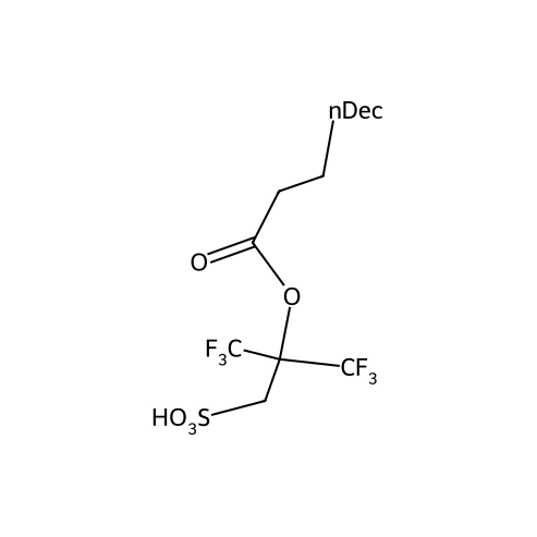 CCCCCCCCCCCCC(=O)OC(CS(=O)(=O)O)(C(F)(F)F)C(F)(F)F